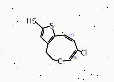 Sc1cc2c(s1)/C=C\C(Cl)=C/CCC2